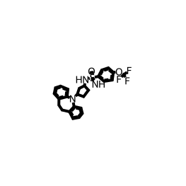 N=S(=O)(NC1CCC(N2c3ccccc3CCc3ccccc32)C1)c1ccc(OC(F)(F)F)cc1